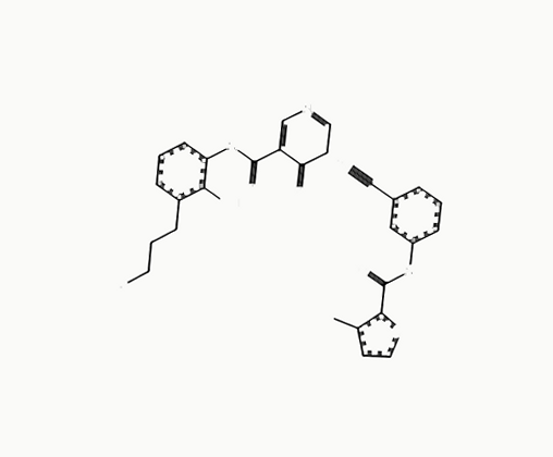 Cc1ccoc1C(=O)Nc1cccc(C#C[C@H]2C=NC=C(C(=O)Nc3cccc(CCCBr)c3O)C2=S)c1